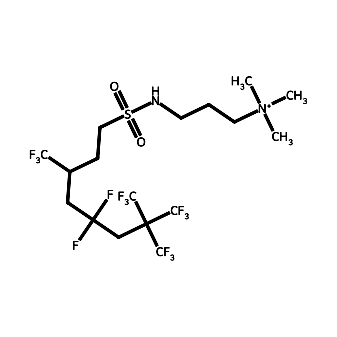 C[N+](C)(C)CCCNS(=O)(=O)CCC(CC(F)(F)CC(C(F)(F)F)(C(F)(F)F)C(F)(F)F)C(F)(F)F